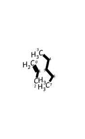 C=CC.CCCCC